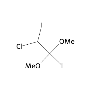 COC(I)(OC)C(Cl)I